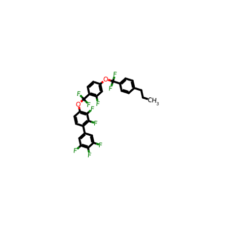 CCCc1ccc(C(F)(F)Oc2ccc(C(F)(F)Oc3ccc(-c4cc(F)c(F)c(F)c4)c(F)c3F)c(F)c2)cc1